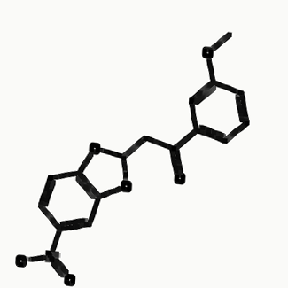 COc1cccc(C(=O)CC2Oc3ccc([N+](=O)[O-])cc3O2)c1